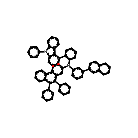 c1ccc(-c2c(-c3ccccc3)c3cc(N(c4cccc(-c5ccc6ccccc6c5)c4)c4ccccc4-c4cccc5c4c4ccccc4n5-c4ccccc4)ccc3c3ccccc23)cc1